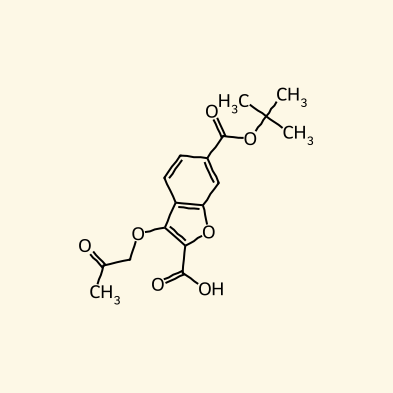 CC(=O)COc1c(C(=O)O)oc2cc(C(=O)OC(C)(C)C)ccc12